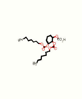 CC(C)CCCCCCOC(=O)OC1CCCC(OC(=O)O)C1OC(=O)OCCCCCCC(C)C